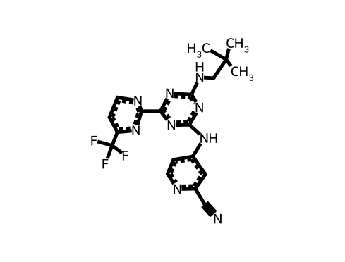 CC(C)(C)CNc1nc(Nc2ccnc(C#N)c2)nc(-c2nccc(C(F)(F)F)n2)n1